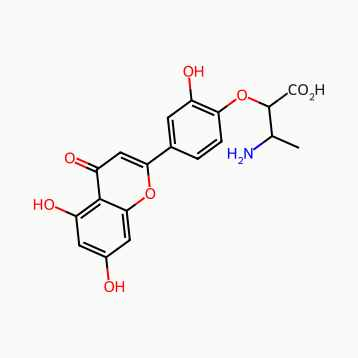 CC(N)C(Oc1ccc(-c2cc(=O)c3c(O)cc(O)cc3o2)cc1O)C(=O)O